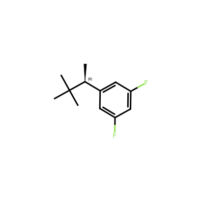 C[C@@H](c1cc(F)cc(F)c1)C(C)(C)C